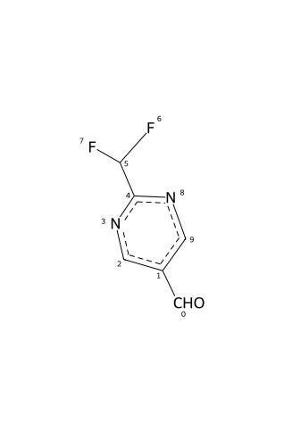 O=Cc1cnc(C(F)F)nc1